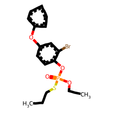 CCCSP(=O)(OCC)Oc1ccc(Oc2ccccc2)cc1Br